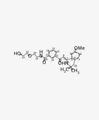 COc1ccc2c(c1)/C(=C/C(=O)c1cccc(C(=O)NCCOCCO)c1)NC(C)(C)C2